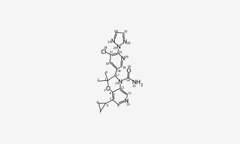 CC1(C)Oc2c(C3CC3)cncc2N(C(N)=O)C1c1cnc(-n2nccn2)c(Cl)c1